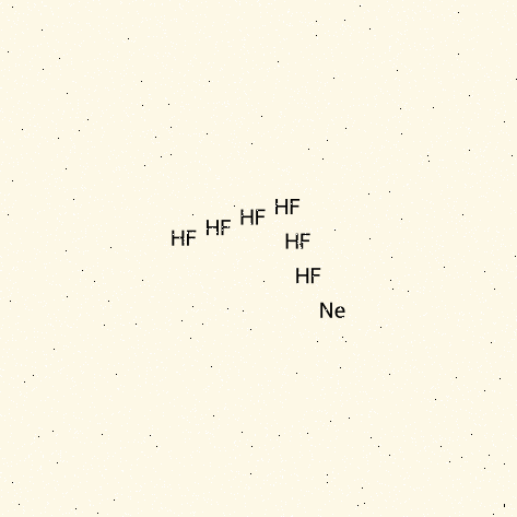 F.F.F.F.F.F.[Ne]